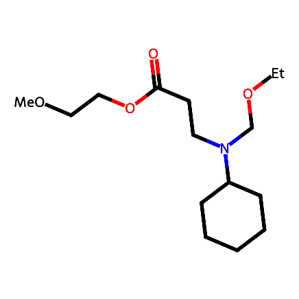 CCOCN(CCC(=O)OCCOC)C1CCCCC1